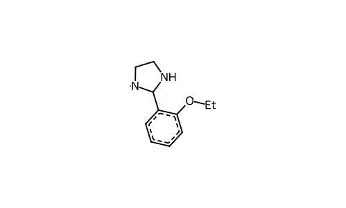 CCOc1ccccc1C1[N]CCN1